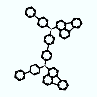 C1=CC(c2ccccc2)CC=C1N(c1ccc(-c2ccc(N(c3ccc(-c4ccccc4)cc3)c3ccc4c5c(cccc35)-c3ccccc3-4)cc2)cc1)c1ccc2c3c(cccc13)-c1ccccc1-2